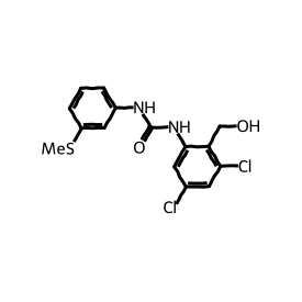 CSc1cccc(NC(=O)Nc2cc(Cl)cc(Cl)c2CO)c1